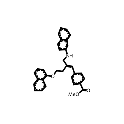 COC(=O)c1ccc(/C=C(\CCOc2cccc3ccccc23)CNc2ccc3ccccc3c2)cc1